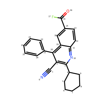 N#Cc1c(C2CCCCC2)nc2ccc(C(=O)F)cc2c1-c1ccccc1